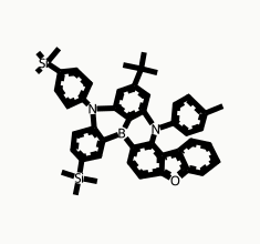 Cc1ccc(N2c3cc(C(C)(C)C)cc4c3B(c3cc([Si](C)(C)C)ccc3N4c3ccc([Si](C)(C)C)cc3)c3ccc4oc5ccccc5c4c32)cc1